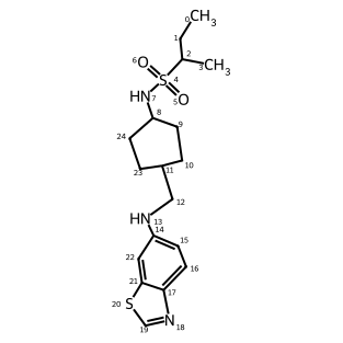 CCC(C)S(=O)(=O)NC1CCC(CNc2ccc3ncsc3c2)CC1